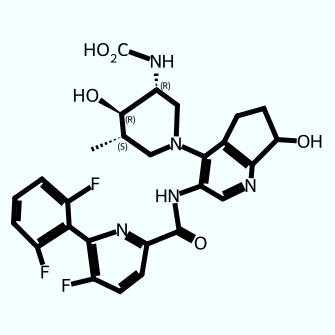 C[C@H]1CN(c2c(NC(=O)c3ccc(F)c(-c4c(F)cccc4F)n3)cnc3c2CCC3O)C[C@@H](NC(=O)O)[C@@H]1O